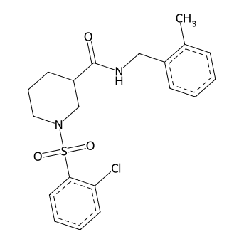 Cc1ccccc1CNC(=O)C1CCCN(S(=O)(=O)c2ccccc2Cl)C1